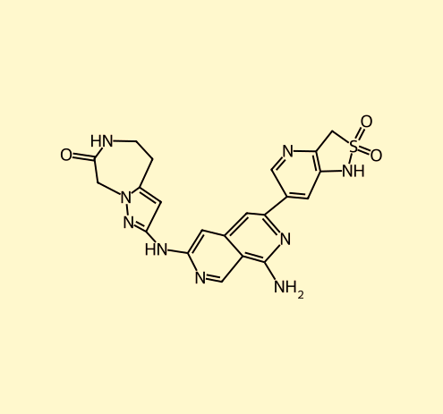 Nc1nc(-c2cnc3c(c2)NS(=O)(=O)C3)cc2cc(Nc3cc4n(n3)CC(=O)NCC4)ncc12